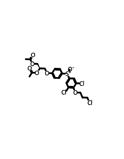 CC(=O)OC[C@@H](COc1ccc([S+]([O-])c2cc(Cl)c(OCCCCl)c(Cl)c2)cc1)OC(C)=O